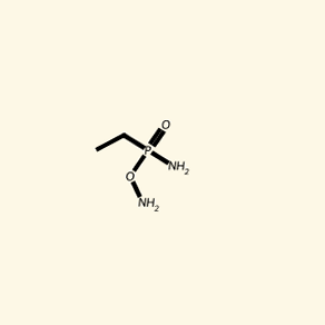 CCP(N)(=O)ON